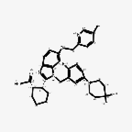 Cc1ccc(COc2ccc3nc([C@@H]4CCCC[C@@H]4C(=O)O)n(Cc4cc(N5CCC(F)(F)CC5)ccc4F)c3c2)nc1